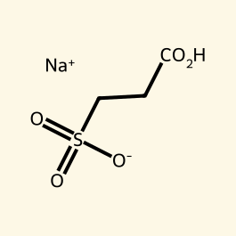 O=C(O)CCS(=O)(=O)[O-].[Na+]